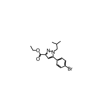 CCOC(=O)c1cc(-c2ccc(Br)cc2)n(CC(C)C)n1